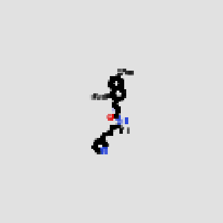 CCCCCC1=C(/C=C/C(=O)N[C@H](C)CCCc2cccnc2)CCc2cc(OC)ccc21